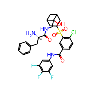 N[C@@H](Cc1ccccc1)C(=O)NCC1(O)C2CC1CC(S(=O)(=O)c1cc(C(=O)Nc3cc(F)c(F)c(F)c3)ccc1Cl)C2